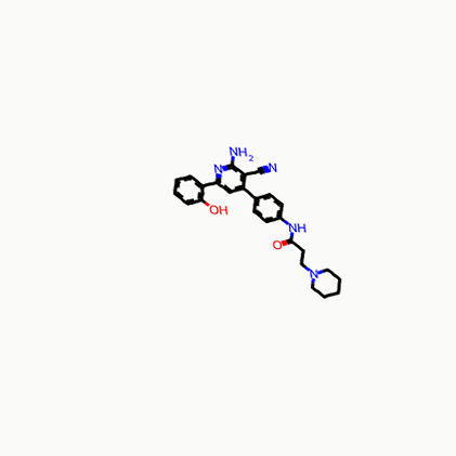 N#Cc1c(-c2ccc(NC(=O)CCN3CCCCC3)cc2)cc(-c2ccccc2O)nc1N